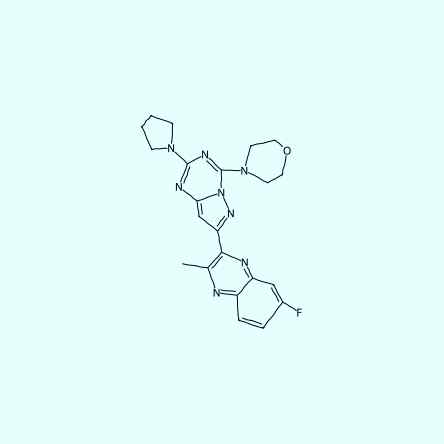 Cc1nc2ccc(F)cc2nc1-c1cc2nc(N3CCCC3)nc(N3CCOCC3)n2n1